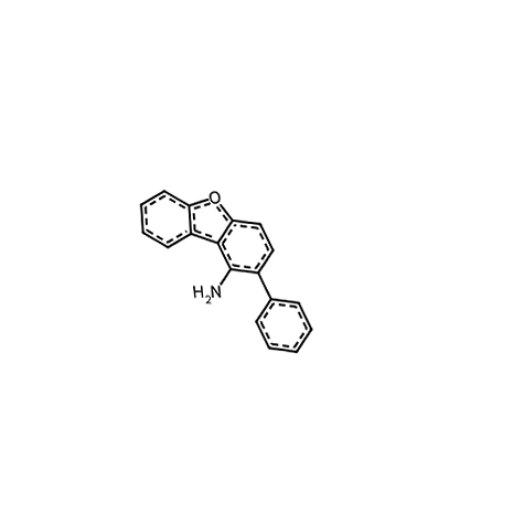 Nc1c(-c2ccccc2)ccc2oc3ccccc3c12